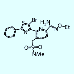 CCO/N=C(\N)c1ccc(CS(=O)(=O)NC)c(-c2nc(-c3ccccc3)sc2Br)n1